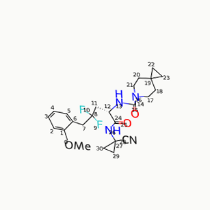 COc1ccccc1CC(F)(F)C[C@H](NC(=O)N1CCC2(CC1)CC2)C(=O)NC1(C#N)CC1